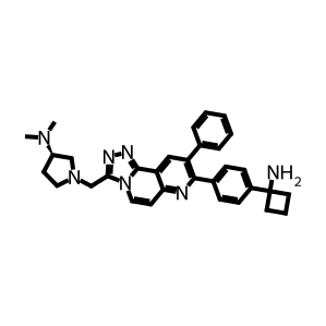 CN(C)[C@@H]1CCN(Cc2nnc3c4cc(-c5ccccc5)c(-c5ccc(C6(N)CCC6)cc5)nc4ccn23)C1